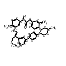 C/N=C\C(=C/Nc1cc(NC(=O)Cc2cccc(C(F)(F)F)c2)ccc1C)c1cncc(-c2ccc(N3CCN(C)CC3)cc2)c1